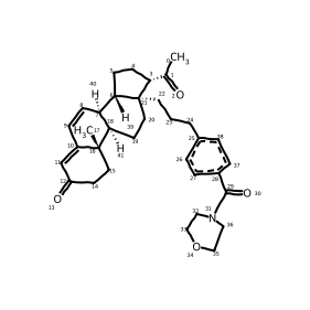 CC(=O)[C@H]1CC[C@H]2[C@@H]3C=CC4=CC(=O)CC[C@@]4(C)[C@@H]3CC[C@]12CCCc1ccc(C(=O)N2CCOCC2)cc1